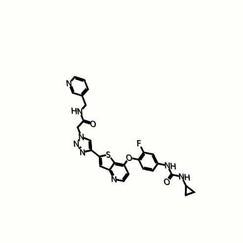 O=C(Cn1cc(-c2cc3nccc(Oc4ccc(NC(=O)NC5CC5)cc4F)c3s2)nn1)NCc1cccnc1